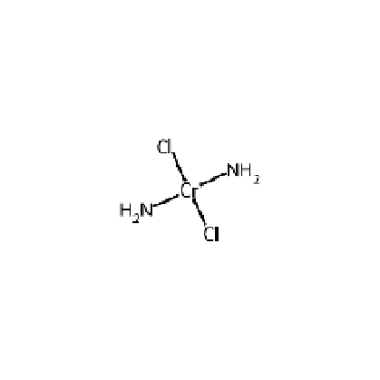 [NH2][Cr]([NH2])([Cl])[Cl]